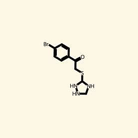 O=C(CSC1NCNN1)c1ccc(Br)cc1